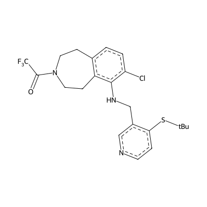 CC(C)(C)Sc1ccncc1CNc1c(Cl)ccc2c1CCN(C(=O)C(F)(F)F)CC2